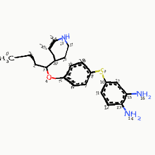 CCCC(Oc1ccc(Sc2ccc(N)c(N)c2)cc1)C1CCNCC1